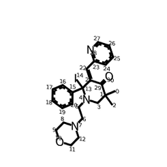 CC1(C)CN(CCN2CCOCC2)C(I)(c2ccccc2)C(=Cc2ccccn2)C1=O